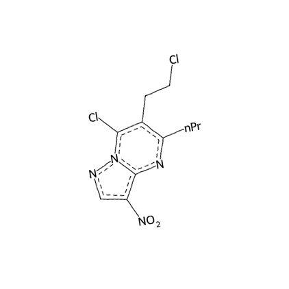 CCCc1nc2c([N+](=O)[O-])cnn2c(Cl)c1CCCl